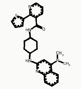 CN(C)c1cc(NC2CCC(NC(=O)c3cccnc3-c3cccs3)CC2)nc2ccccc12